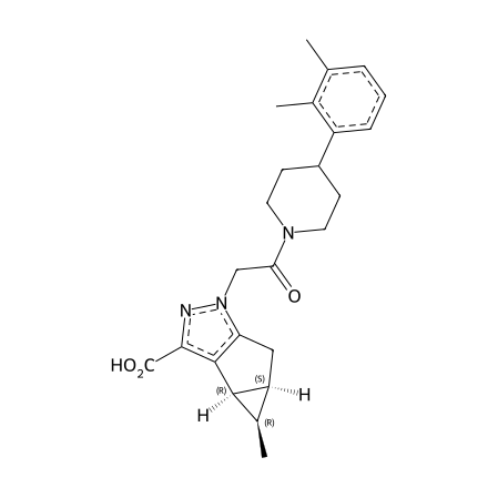 Cc1cccc(C2CCN(C(=O)Cn3nc(C(=O)O)c4c3C[C@H]3[C@@H](C)[C@@H]43)CC2)c1C